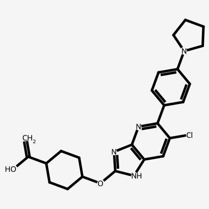 C=C(O)C1CCC(Oc2nc3nc(-c4ccc(N5CCCC5)cc4)c(Cl)cc3[nH]2)CC1